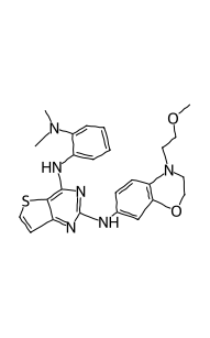 COCCN1CCOc2cc(Nc3nc(Nc4ccccc4N(C)C)c4sccc4n3)ccc21